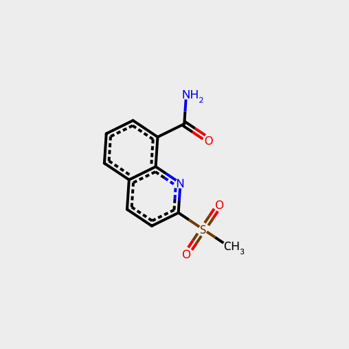 CS(=O)(=O)c1ccc2cccc(C(N)=O)c2n1